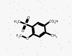 Cc1cc(OC(F)(F)F)c(S(C)(=O)=O)cc1C(=O)O